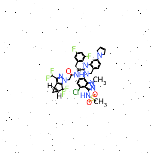 Cn1nc(NS(C)(=O)=O)c2c(Cl)ccc(N3Cc4ccc(N5CC=CC5)cc4N=C3[C@H](Cc3cc(F)cc(F)c3)NC(=O)Cn3nc(C(F)F)c4c3C(F)(F)[C@@H]3C[C@H]43)c21